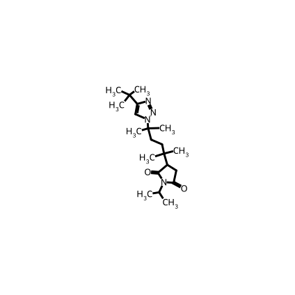 CC(C)N1C(=O)CC(C(C)(C)CCC(C)(C)n2cc(C(C)(C)C)nn2)C1=O